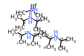 CC(C)NC(C)C.CC(C)NC(C)C.CC(C)NC(C)C.CNC.[Hf]